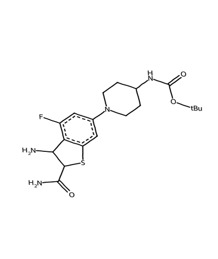 CC(C)(C)OC(=O)NC1CCN(c2cc(F)c3c(c2)SC(C(N)=O)C3N)CC1